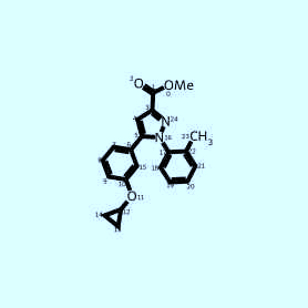 COC(=O)c1cc(-c2cccc(OC3CC3)c2)n(-c2ccccc2C)n1